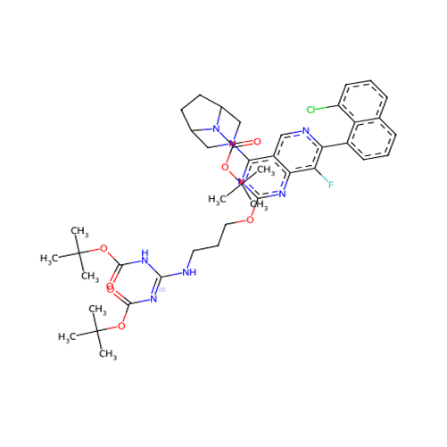 CC(C)(C)OC(=O)/N=C(/NCCCOc1nc(N2CC3CCC(C2)N3C(=O)OC(C)(C)C)c2cnc(-c3cccc4cccc(Cl)c34)c(F)c2n1)NC(=O)OC(C)(C)C